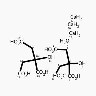 O.O=C(O)CC(O)(CC(=O)O)C(=O)O.O=C(O)CC(O)(CC(=O)O)C(=O)O.[CaH2].[CaH2].[CaH2]